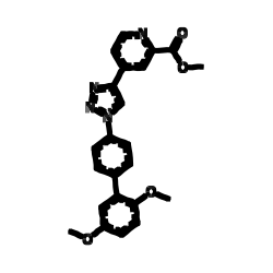 COC(=O)c1cc(-c2cn(-c3ccc(-c4cc(OC)ccc4OC)cc3)nn2)ccn1